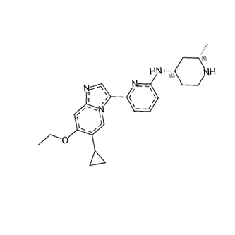 CCOc1cc2ncc(-c3cccc(N[C@H]4CCN[C@@H](C)C4)n3)n2cc1C1CC1